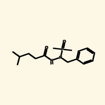 CC(C)CCC(=O)NN(Cc1ccccc1)P(C)(C)=O